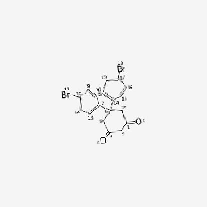 O=C1CC(=O)CC(c2ccc(Br)cc2)(c2ccc(Br)cc2)C1